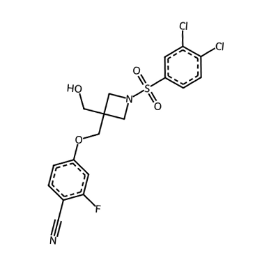 N#Cc1ccc(OCC2(CO)CN(S(=O)(=O)c3ccc(Cl)c(Cl)c3)C2)cc1F